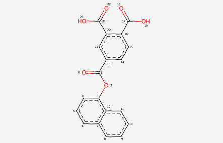 O=C(Oc1cccc2ccccc12)c1ccc(C(=O)O)c(C(=O)O)c1